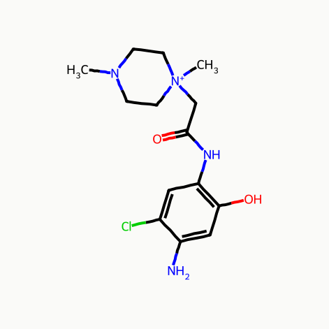 CN1CC[N+](C)(CC(=O)Nc2cc(Cl)c(N)cc2O)CC1